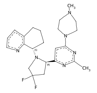 Cc1nc([C@H]2CC(F)(F)CN2[C@H]2CCCc3cccnc32)cc(N2CCN(C)CC2)n1